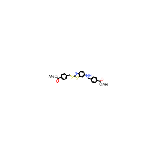 COC(=O)c1ccc(CNc2ccc3nc(SCc4ccc(C(=O)OC)cc4)sc3c2)cc1